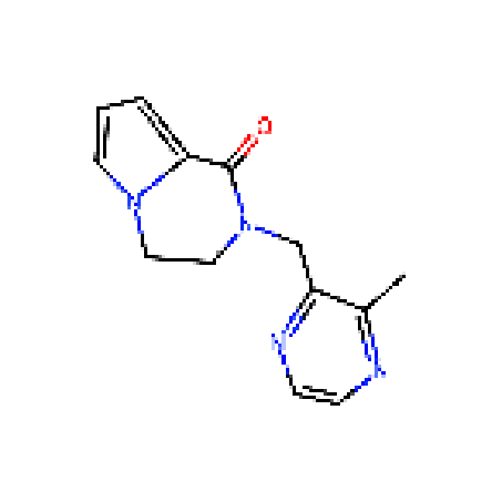 Cc1nccnc1CN1CCn2cccc2C1=O